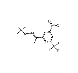 C/C(=N\SC(C)(C)C)c1cc([N+](=O)[O-])cc(C(F)(F)F)c1